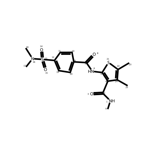 CNC(=O)c1c(NC(=O)c2ccc(S(=O)(=O)N(C)C)cc2)sc(C)c1C